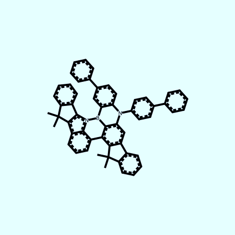 CC1(C)c2ccccc2-c2cc3c4c(c21)-c1cccc2c5c(n(c12)B4c1cc(-c2ccccc2)ccc1N3c1ccc(-c2ccccc2)cc1)-c1ccccc1C5(C)C